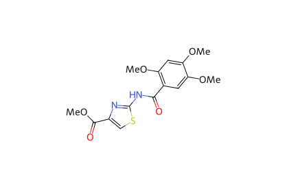 COC(=O)c1csc(NC(=O)c2cc(OC)c(OC)cc2OC)n1